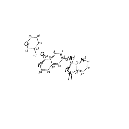 c1cnc2c(Nc3ccc4c(OCC5CCCOC5)nccc4c3)n[nH]c2c1